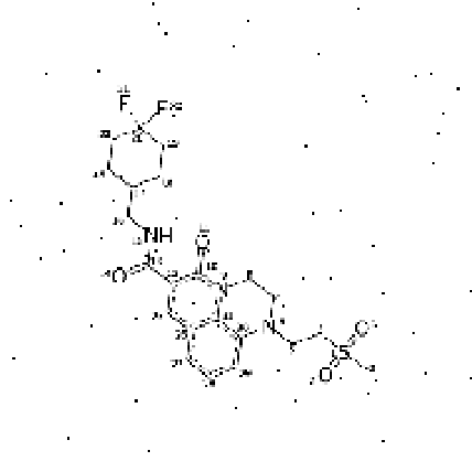 CS(=O)(=O)CCN1CCn2c(=O)c(C(=O)NCC3CCC(F)(F)CC3)cc3cccc1c32